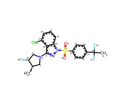 C[C@@H]1CN(c2nn(S(=O)(=O)c3ccc(C(C)(F)F)cc3)c3cccc(Cl)c23)C[C@@H]1F